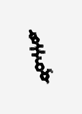 Cc1nc2c(s1)CN(C(=O)[C@H](O)[C@@H](O)C(=O)NCC1CCN(c3ccc(F)cc3N)CC1)C2